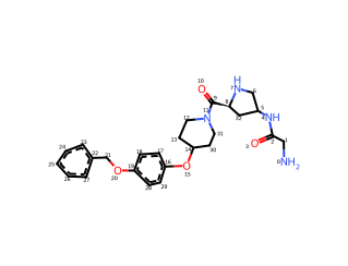 NCC(=O)NC1CN[C@H](C(=O)N2CCC(Oc3ccc(OCc4ccccc4)cc3)CC2)C1